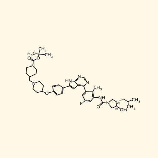 Cc1c(NC(=O)N2C[C@H](CC(C)C)[C@@H](O)C2)cc(F)cc1-c1ncnc2[nH]c(-c3ccc(OC4CCN(CC5CCN(C(=O)OC(C)(C)C)CC5)CC4)cc3)cc12